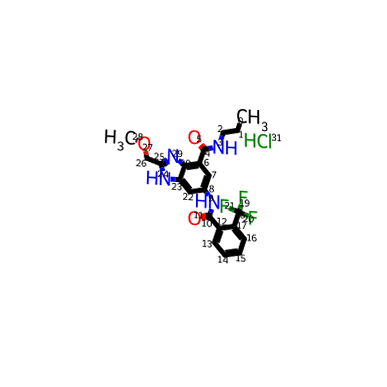 CCCNC(=O)c1cc(NC(=O)c2ccccc2C(F)(F)F)cc2[nH]c(COC)nc12.Cl